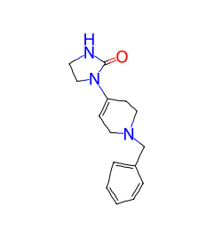 O=C1NCCN1C1=CCN(Cc2ccccc2)CC1